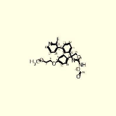 COCCOc1ccc(C2(c3cccc(-c4cccnc4F)c3)COC(NOC=O)=N2)cc1